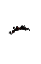 C=CC(=O)OCCCCOc1ccc(C(=O)Oc2ccc(OC(=O)C3CCC(C(=O)Oc4ccc(OC(=O)CCC(=O)OCCOC(=O)C=C)c(C(=O)OC)c4)CC3)cc2C(=O)OC)cc1